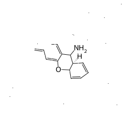 C=C/C=C1/OC2C=CC=C[C@@H]2C(N)/C1=C/C